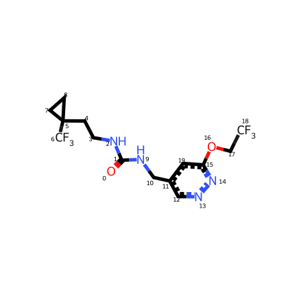 O=C(NCCC1(C(F)(F)F)CC1)NCc1cnnc(OCC(F)(F)F)c1